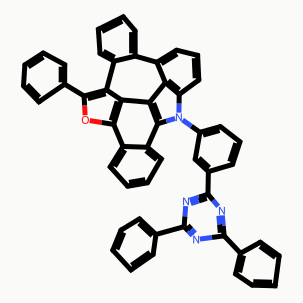 c1ccc(-c2nc(-c3ccccc3)nc(-c3cccc(-n4c5cccc6c5c5c7c(c(-c8ccccc8)oc7c7ccccc7c54)-c4ccccc4-6)c3)n2)cc1